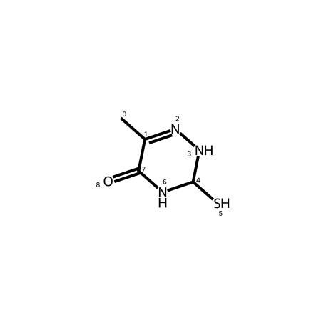 CC1=NNC(S)NC1=O